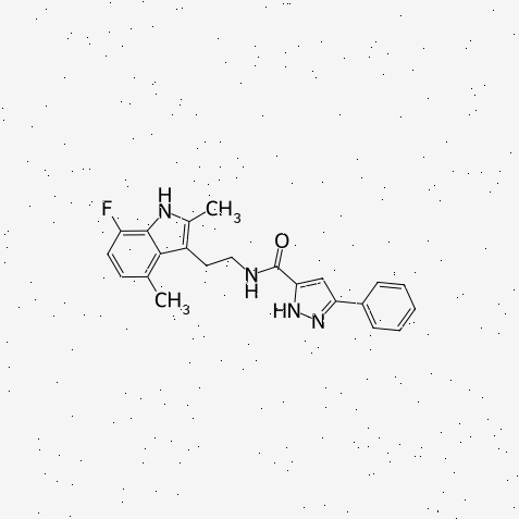 Cc1[nH]c2c(F)ccc(C)c2c1CCNC(=O)c1cc(-c2ccccc2)n[nH]1